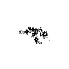 C[C@H](Cn1cnc2c(N)ccnc21)OCP(=O)(NC(C)(C)C(=O)O[C@H]1C[C@@H](C(C)(C)C)C1)NC(C)(C)C(=O)O[C@H]1C[C@@H](C(C)(C)C)C1